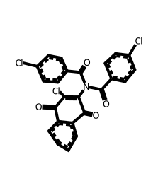 O=C1C(Cl)=C(N(C(=O)c2ccc(Cl)cc2)C(=O)c2ccc(Cl)cc2)C(=O)c2ccccc21